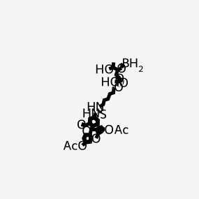 BCOC(COP(=O)(O)OCCCCCCNC(=S)Nc1ccc2c(c1)C(=O)OC21c2ccc(OC(C)=O)cc2Oc2cc(OC(C)=O)ccc21)C(C)O